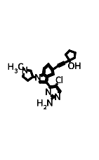 CN1CCC(n2cc(-c3nc(N)ncc3Cl)c3cc(C#CC4(O)CCCC4)ccc32)C1